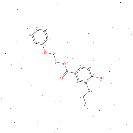 CCOc1cc(C(=O)OCCOc2ccccc2)ccc1O